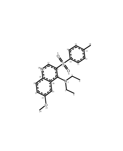 CCN(CC)c1c(S(=O)(=O)c2ccc(C)cc2)cnc2ccc(OC)cc12